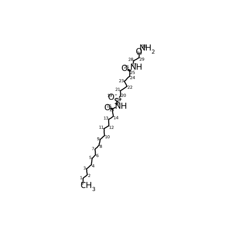 CCCCCCCCCCCCCCCC(=O)N[S+]([O-])CCCCCC(=O)NCCON